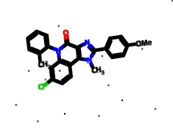 COc1ccc(-c2nc3c(=O)n(-c4ccccc4C)c4cc(Cl)ccc4c3n2C)cc1